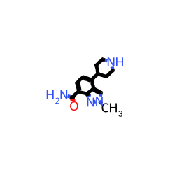 Cn1cc2c(C3CCNCC3)ccc(C(N)=O)c2n1